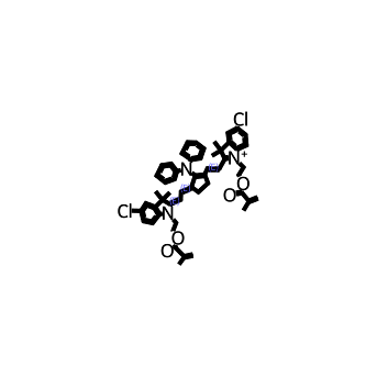 C=C(C)C(=O)OCCN1/C(=C/C=C2\CCC(/C=C/C3=[N+](CCOC(=O)C(=C)C)c4ccc(Cl)cc4C3(C)C)=C2N(c2ccccc2)c2ccccc2)C(C)(C)c2cc(Cl)ccc21